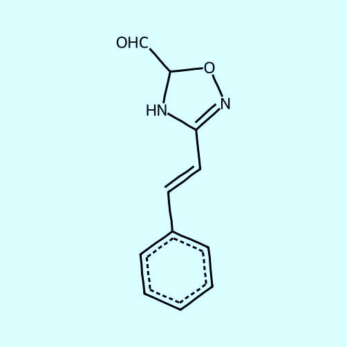 O=CC1NC(C=Cc2ccccc2)=NO1